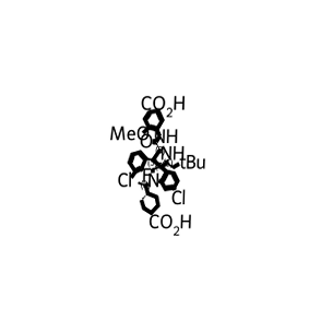 COc1cc(C(=O)O)ccc1NC(=O)[C@@H]1N[C@@H](CC(C)(C)C)[C@@]2(CN([C@H](C)[C@H]3CC[C@H](C(=O)O)CC3)c3cc(Cl)ccc32)[C@H]1c1cccc(Cl)c1F